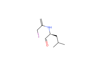 C=C(CI)N[C@H](C=O)CC(C)C